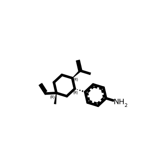 C=C[C@]1(C)CC[C@@H](C(=C)C)[C@H](c2ccc(N)cc2)C1